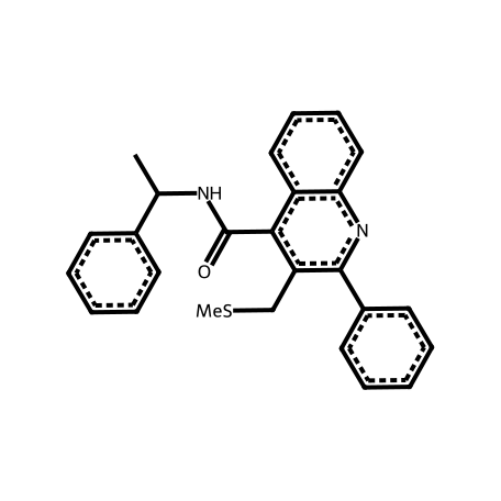 CSCc1c(-c2ccccc2)nc2ccccc2c1C(=O)NC(C)c1ccccc1